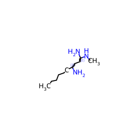 CCCCCC/C(N)=C/C=C(\N)NC